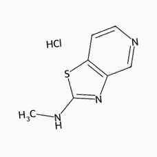 CNc1nc2cnccc2s1.Cl